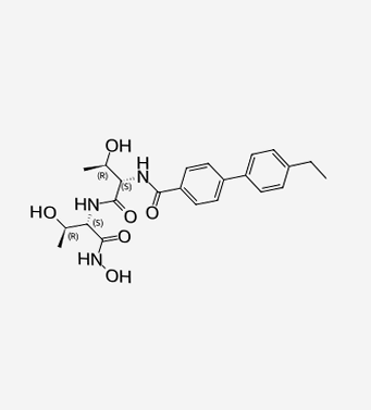 CCc1ccc(-c2ccc(C(=O)N[C@H](C(=O)N[C@H](C(=O)NO)[C@@H](C)O)[C@@H](C)O)cc2)cc1